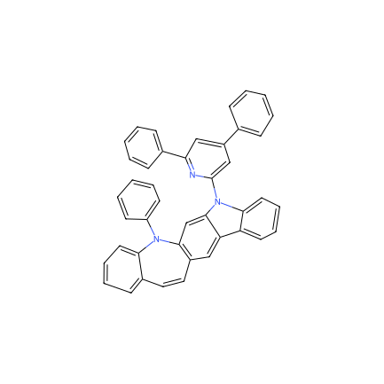 C1=Cc2cc3c4ccccc4n(-c4cc(-c5ccccc5)cc(-c5ccccc5)n4)c3cc2N(c2ccccc2)c2ccccc21